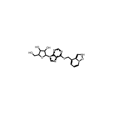 OCC1OC(n2cnc3c(SCC4=CC=CN5ONC=C45)ncnc32)C(O)C1O